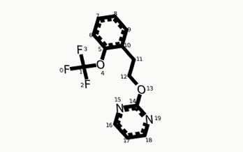 FC(F)(F)Oc1ccccc1CCOc1ncccn1